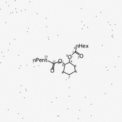 CCCCCCC(=O)OC1CCCCC1OC(=O)CCCCC